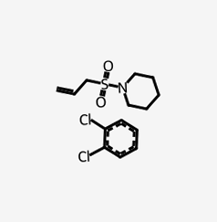 C=CCS(=O)(=O)N1CCCCC1.Clc1ccccc1Cl